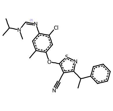 Cc1cc(/N=C\N(C)C(C)C)c(Cl)cc1Oc1snc(C(C)c2ccccc2)c1C#N